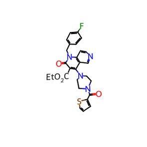 CCOC(=O)c1c(N2CCN(C(=O)c3cccs3)CC2)c2cnccc2n(Cc2ccc(F)cc2)c1=O